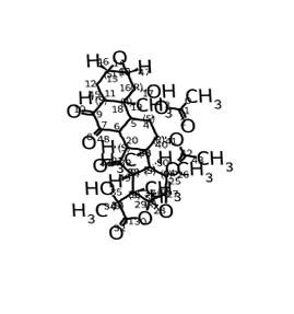 CC(=O)O[C@H]1C2C(C(=O)C(=O)[C@H]3C[C@@H]4O[C@@H]4[C@H](O)[C@]23C)[C@@H]2C(=O)[C@@H]3[C@H]([C@H](C)[C@H]4O[C@]45OC(=O)[C@@](C)(O)[C@]35C)[C@@]2(C)[C@H]1OC(C)=O